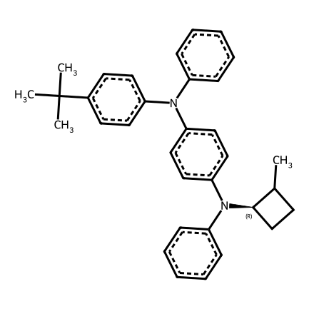 CC1CC[C@H]1N(c1ccccc1)c1ccc(N(c2ccccc2)c2ccc(C(C)(C)C)cc2)cc1